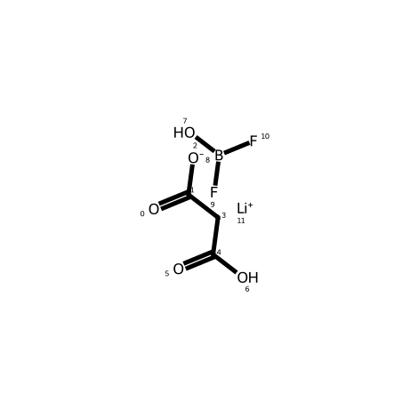 O=C([O-])CC(=O)O.OB(F)F.[Li+]